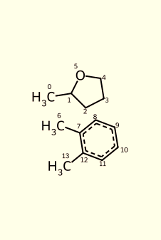 CC1CCCO1.Cc1ccccc1C